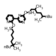 CCCCC(C)CCC(C)C[SiH2]Oc1cncc(-c2cccnc2O[SiH2]CCCCC(C)(C)CCCC)n1